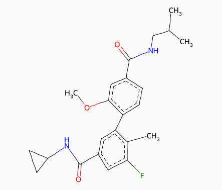 COc1cc(C(=O)NCC(C)C)ccc1-c1cc(C(=O)NC2CC2)cc(F)c1C